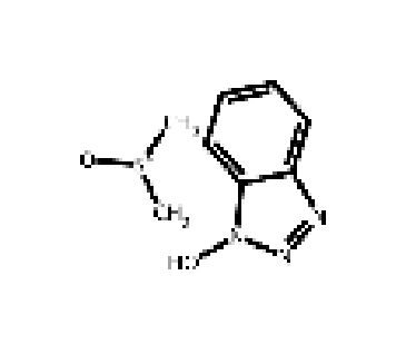 C[S+](C)[O-].On1nnc2ccccc21